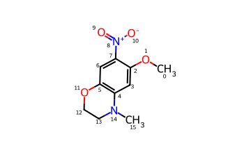 COc1cc2c(cc1[N+](=O)[O-])OCCN2C